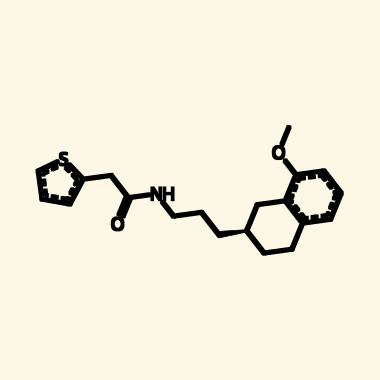 COc1cccc2c1C[C@H](CCCNC(=O)Cc1cccs1)CC2